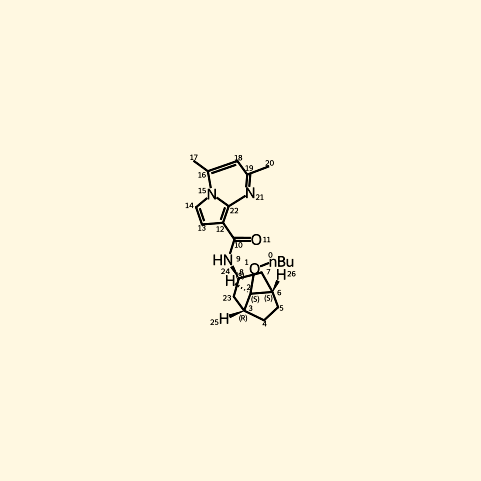 CCCCO[C@@H]1[C@@H]2CC[C@H]1C[C@H](NC(=O)c1ccn3c(C)cc(C)nc13)C2